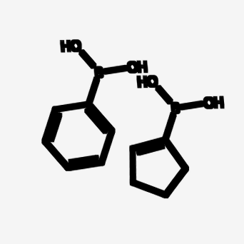 OB(O)C1=CCCC1.OB(O)c1ccccc1